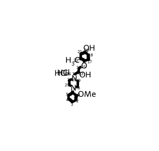 COc1ccccc1N1CCN(CC(O)COc2ccc(O)cc2C)CC1.Cl.Cl